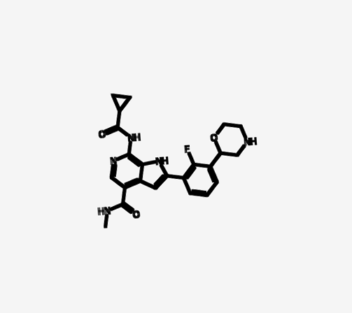 CNC(=O)c1cnc(NC(=O)C2CC2)c2[nH]c(-c3cccc(C4CNCCO4)c3F)cc12